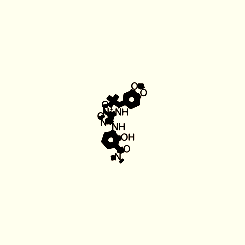 CN(C)C(=O)c1cccc(Nc2no[n+]([O-])c2N[C@@H](c2ccc3c(c2)OCO3)C(C)(C)C)c1O